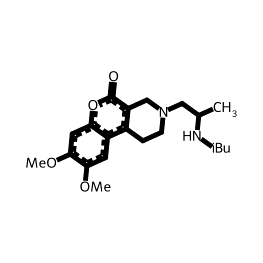 CCC(C)NC(C)CN1CCc2c(c(=O)oc3cc(OC)c(OC)cc23)C1